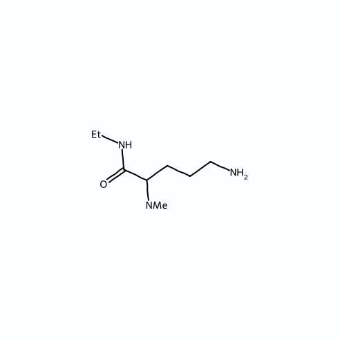 CCNC(=O)C(CCCN)NC